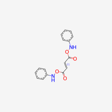 O=C(/C=C/C(=O)ONc1ccccc1)ONc1ccccc1